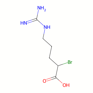 N=C(N)NCCCC(Br)C(=O)O